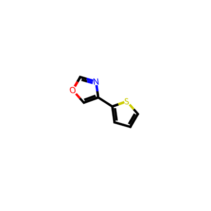 c1csc(-c2cocn2)c1